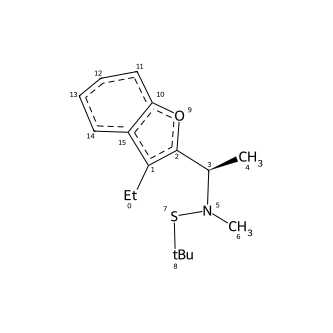 CCc1c([C@@H](C)N(C)SC(C)(C)C)oc2ccccc12